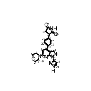 C[C@@H]1COCCN1c1cc(-c2ccc(C3CC(=O)NC3=O)cc2)c2cnn(-c3cc[nH]n3)c2n1